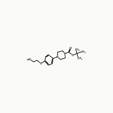 CC(C)(C)OC(=O)N1CCN(c2ccc(OCCO)cc2)CC1